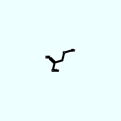 COC(=N)COC(C)C